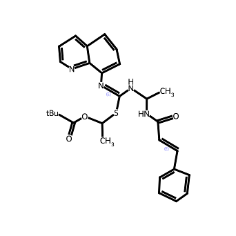 CC(NC(=O)/C=C/c1ccccc1)N/C(=N\c1cccc2cccnc12)SC(C)OC(=O)C(C)(C)C